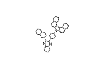 c1ccc2cc(-c3nc4ccccc4nc3-c3ccc(-n4c5ccc6ccccc6c5c5c6ccccc6ccc54)cc3)ccc2c1